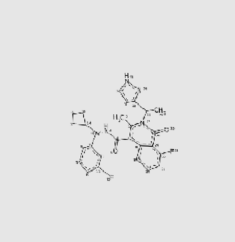 Cc1c(C(=O)N[C@H](c2cccc(F)c2)C2CCC2)c2cccc(F)c2c(=O)n1C(C)c1cc[nH]n1